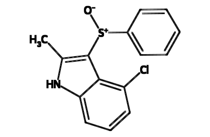 Cc1[nH]c2cccc(Cl)c2c1[S+]([O-])c1ccccc1